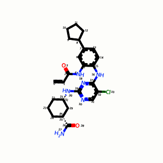 C=CC(=O)Nc1cc(C2CCCC2)ccc1Nc1nc(N[C@H]2CCC[C@@H](C(N)=O)C2)ncc1Cl